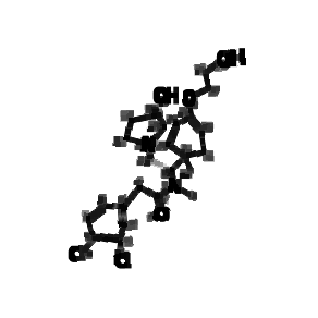 CN(C(=O)Cc1ccc(Cl)c(Cl)c1)[C@H](CN1CC[C@H](O)C1)C1(C)C=CC(OCCO)=CC1